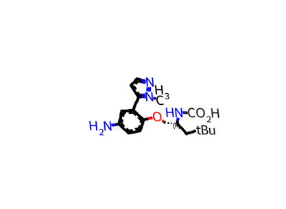 Cn1nccc1-c1cc(N)ccc1OC[C@@H](CC(C)(C)C)NC(=O)O